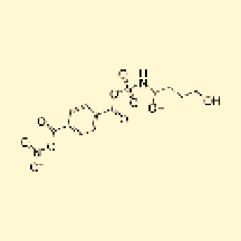 O=C(O[N+](=O)[O-])c1ccc(C(=O)OS(=O)(=O)NC(O)CCCO)cc1